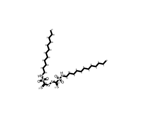 CCCCCCCCCCCCNS(=O)(=O)C(=S)SSC(=S)S(=O)(=O)NCCCCCCCCCCCC